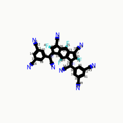 N#CC1=C(F)/C(=C(/C#N)c2cc(C#N)cc(C#N)c2)c2c(F)c3c(c(F)c21)C(C#N)=C(F)/C3=C(/C#N)c1cc(C#N)cc(C#N)c1